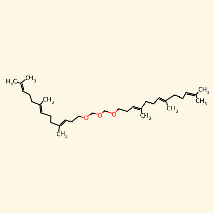 CC(C)=CCC/C(C)=C/CC/C(C)=C/CCOCOCOCC/C=C(\C)CC/C=C(\C)CCC=C(C)C